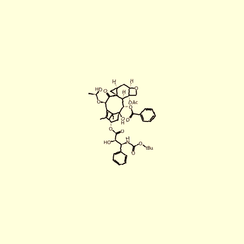 CC(=O)O[C@@]12CO[C@@H]1C[C@@H]1C[C@@]13C(=O)[C@H](O[C@@H](C)O)C1=C(C)[C@@H](OC(=O)[C@H](O)[C@@H](NC(=O)OC(C)(C)C)c4ccccc4)C[C@@](O)([C@@H](OC(=O)c4ccccc4)[C@H]23)C1(C)C